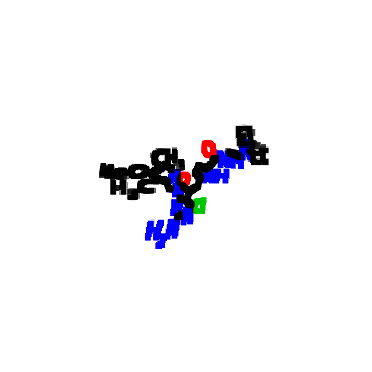 CCN(CC)CCNC(=O)c1ccc(C=C2C(=O)N(Cc3ncc(C)c(OC)c3C)c3nc(N)nc(Cl)c32)[nH]1